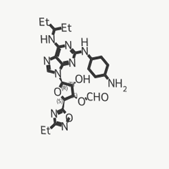 CCc1noc([C@H]2O[C@@H](n3cnc4c(NC(CC)CC)nc(NC5CCC(N)CC5)nc43)[C@H](O)[C@@H]2OC=O)n1